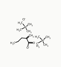 C=C(CCC)C(=O)[O-].C[N+](C)(C)C.C[N+](C)(C)C.[Cl-]